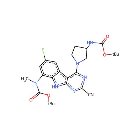 CN(C(=O)OC(C)(C)C)c1cc(F)cc2c1[nH]c1nc(C#N)nc(N3CCC(NC(=O)OC(C)(C)C)C3)c12